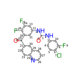 O=C(Nc1ccc(Cl)c(F)c1)Nc1cc(F)c(F)c(C(=O)c2ccc3ncccc3c2)c1